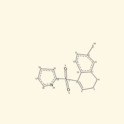 O=S(=O)(C1=CCCc2cc(I)ccc21)c1ccccn1